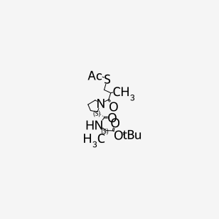 CC(=O)SCC(C)C(=O)N1CCC[C@H]1C(=O)N[C@@H](C)C(=O)OC(C)(C)C